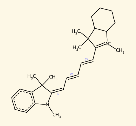 CN1/C(=C/C=C/C=C/C2=[N+](C)C3CCCCC3C2(C)C)C(C)(C)c2ccccc21